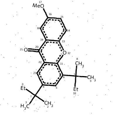 CCC(C)(C)c1cc(C(C)(C)CC)c2oc3ccc(OC)cc3c(=O)c2c1